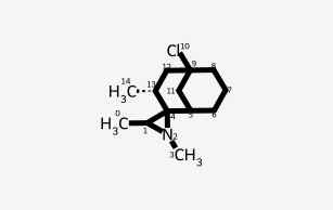 CC1N(C)C12C1CCCC(Cl)(C1)C[C@H]2C